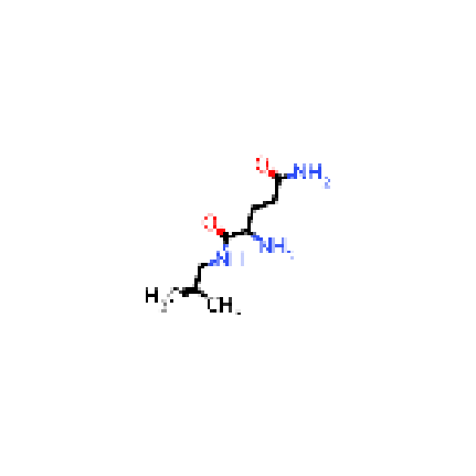 C=C(C)CNC(=O)C(N)CCC(N)=O